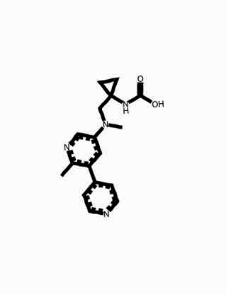 Cc1ncc(N(C)CC2(NC(=O)O)CC2)cc1-c1ccncc1